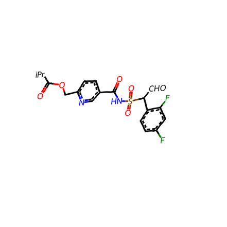 CC(C)C(=O)OCc1ccc(C(=O)NS(=O)(=O)C(C=O)c2ccc(F)cc2F)cn1